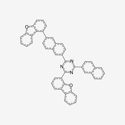 c1ccc2cc(-c3nc(-c4ccc5cc(-c6cccc7oc8ccccc8c67)ccc5c4)nc(-c4cccc5c4oc4ccccc45)n3)ccc2c1